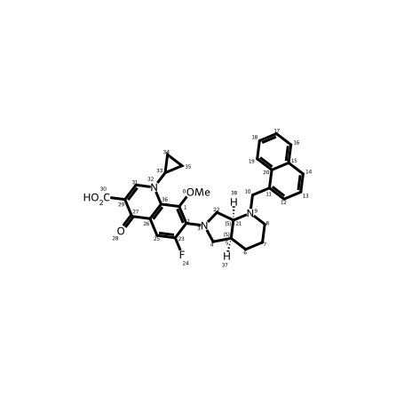 COc1c(N2C[C@@H]3CCCN(Cc4cccc5ccccc45)[C@@H]3C2)c(F)cc2c(=O)c(C(=O)O)cn(C3CC3)c12